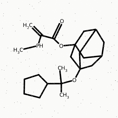 C=C(PC)C(=O)OC12CC3CC(C1)CC(OC(C)(C)C1CCCC1)(C3)C2